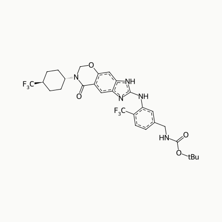 CC(C)(C)OC(=O)NCc1ccc(C(F)(F)F)c(Nc2nc3cc4c(cc3[nH]2)OCN([C@H]2CC[C@H](C(F)(F)F)CC2)C4=O)c1